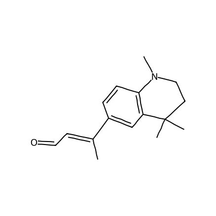 C/C(=C\C=O)c1ccc2c(c1)C(C)(C)CCN2C